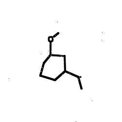 C[CH]C1CCCC(OC)C1